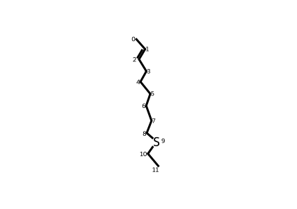 CC=CCCCCCCSCC